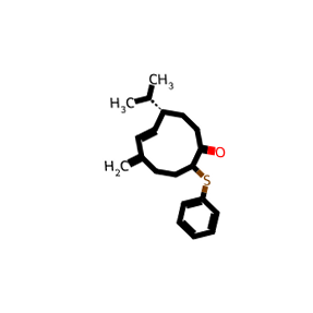 C=C1/C=C/[C@H](C(C)C)CCC(=O)C(Sc2ccccc2)CC1